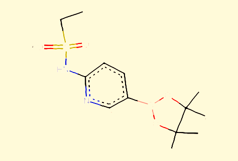 CCS(=O)(=O)Nc1ccc(B2OC(C)(C)C(C)(C)O2)cn1